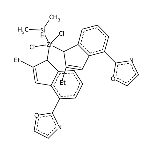 CCC1=Cc2c(-c3ncco3)cccc2[CH]1[Zr]([Cl])([Cl])([CH]1C(CC)=Cc2c(-c3ncco3)cccc21)[SiH](C)C